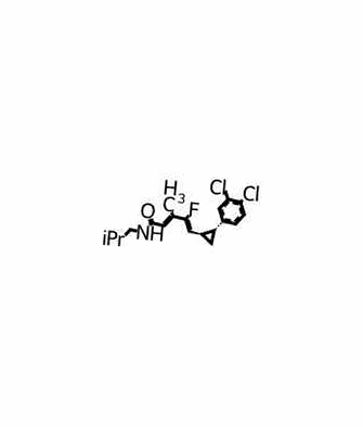 CC(=CC(=O)NCC(C)C)C(F)=C[C@@H]1C[C@H]1c1ccc(Cl)c(Cl)c1